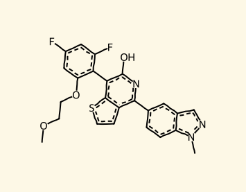 COCCOc1cc(F)cc(F)c1-c1c(O)nc(-c2ccc3c(cnn3C)c2)c2ccsc12